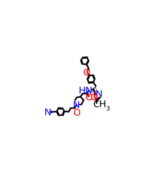 Cc1cnc([C@H](Cc2ccc(OCc3ccccc3)cc2)NC(=O)CC2CCN(C(=O)CCc3ccc(C#N)cc3)CC2)o1